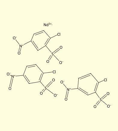 O=[N+]([O-])c1ccc(Cl)c(S(=O)(=O)[O-])c1.O=[N+]([O-])c1ccc(Cl)c(S(=O)(=O)[O-])c1.O=[N+]([O-])c1ccc(Cl)c(S(=O)(=O)[O-])c1.[Nd+3]